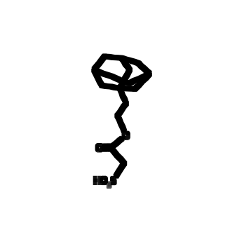 O=C(CS(=O)(=O)O)OCCC12CC3CC(CC(C3)C1)C2